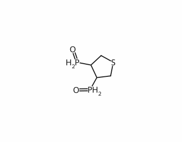 O=[PH2]C1CSCC1[PH2]=O